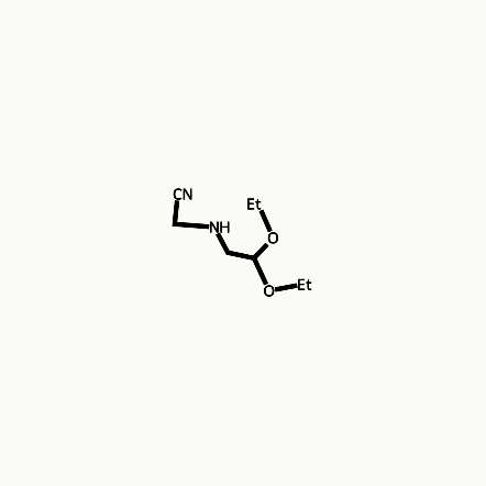 CCOC(CNCC#N)OCC